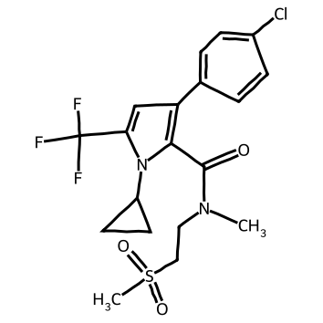 CN(CCS(C)(=O)=O)C(=O)c1c(-c2ccc(Cl)cc2)cc(C(F)(F)F)n1C1CC1